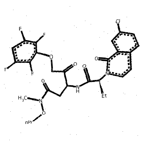 CCCON(C)C(=O)CC(NC(=O)[C@H](CC)n1ccc2ccc(Cl)cc2c1=O)C(=O)COc1c(F)c(F)cc(F)c1F